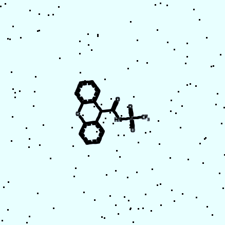 O=C(NS(=O)(=O)C(F)(F)F)C1c2ccccc2Oc2ccccc21